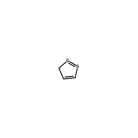 B1=BCC=C1